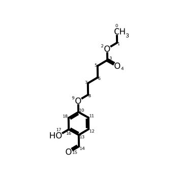 CCOC(=O)CCCCOc1ccc(C=O)c(O)c1